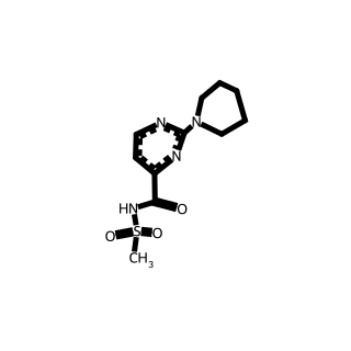 CS(=O)(=O)NC(=O)c1ccnc(N2CCCCC2)n1